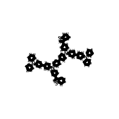 c1ccc(N(c2ccccc2)c2ccc(-c3ccc(N(c4ccc(-c5ccc(N(c6ccc(-c7ccc(N(c8ccccc8)c8ccccc8)cc7)cc6)c6ccc(-c7csc8ccccc78)cc6)cc5)cc4)c4ccc(-c5csc6ccccc56)cc4)cc3)cc2)cc1